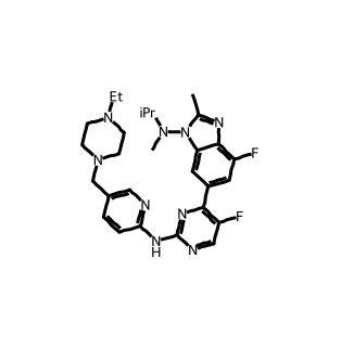 CCN1CCN(Cc2ccc(Nc3ncc(F)c(-c4cc(F)c5nc(C)n(N(C)C(C)C)c5c4)n3)nc2)CC1